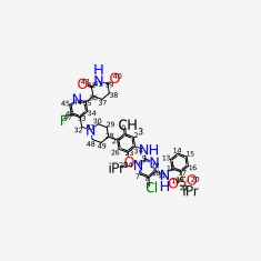 Cc1cc(Nc2ncc(Cl)c(Nc3ccccc3S(=O)(=O)C(C)C)n2)c(OC(C)C)cc1C1CCN(Cc2cc(C3CCC(=O)NC3=O)ncc2F)CC1